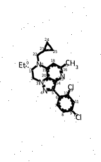 CC[C@H]1Cn2nc(-c3ccc(Cl)cc3Cl)c3nc(C)cc(c32)N1CC1CC1